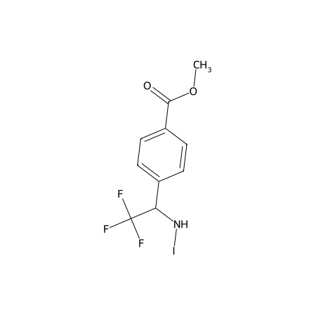 COC(=O)c1ccc(C(NI)C(F)(F)F)cc1